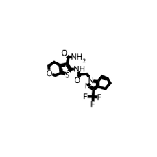 NC(=O)c1c(NC(=O)Cn2nc(C(F)(F)F)c3c2C=CCC3)sc2c1CCOC2